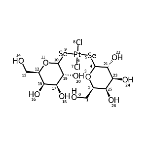 OC[C@H]1OC([Se][Pt]([Cl])([Cl])[Se]C2O[C@H](CO)[C@H](O)[C@H](O)[C@H]2O)[C@H](O)[C@@H](O)[C@H]1O